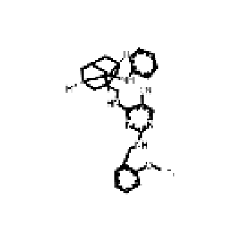 N#Cc1cnc(NCc2ccccc2OC(F)(F)F)nc1NC[C@]12CC3C[C@H](C1)[C@H](Nc1ccccc1)[C@@H](C3)C2